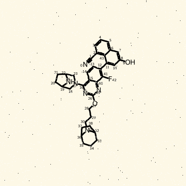 N#Cc1cccc2cc(O)cc(-c3ccc4c(N5CC6CCC(C5)N6)nc(OCCCN5C6CCCC5CC6)nc4c3F)c12